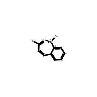 [O-][NH+]1N=C(F)C=Cc2ccccc21